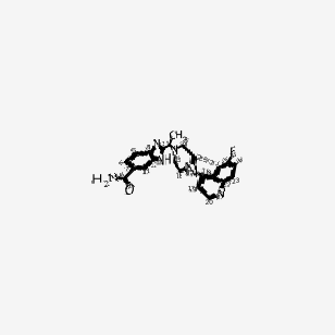 CC(c1nc2ccc(C(N)=O)cc2[nH]1)N1CCN(c2ccnc3ccc(F)cc23)CC1